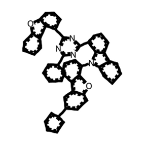 c1ccc(-c2ccc3oc4c(-n5c6ccccc6c6cccc(-c7nc(-c8ccccc8)nc(-c8cccc9oc%10ccccc%10c89)n7)c65)cccc4c3c2)cc1